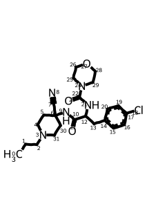 CCCN1CCC(C#N)(NC(=O)C(Cc2ccc(Cl)cc2)NC(=O)N2CCOCC2)CC1